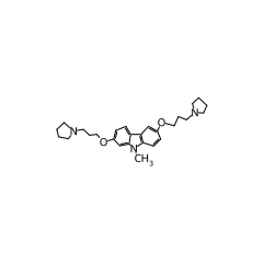 Cn1c2ccc(OCCCN3CCCC3)cc2c2ccc(OCCCN3CCCC3)cc21